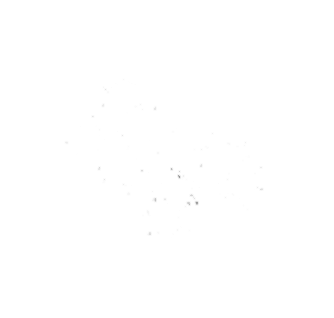 c1ccc2c(c1)-c1ccccc1C21c2ccccc2-c2c(-c3nc(-c4cccc5ccccc45)nc4ccccc34)cccc21